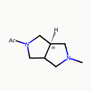 CC(=O)N1CC2CN(C)C[C@@H]2C1